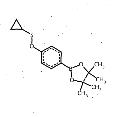 CC1(C)OB(c2ccc(OSC3CC3)cc2)OC1(C)C